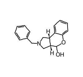 OC1Oc2ccccc2[C@H]2CN(Cc3ccccc3)C[C@@H]12